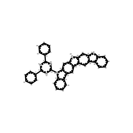 c1ccc(-c2nc(-c3ccccc3)nc(-n3c4ccccc4c4cc5c(cc43)oc3cc4sc6ccccc6c4cc35)n2)cc1